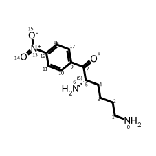 NCCCC[C@H](N)C(=O)c1ccc([N+](=O)[O-])cc1